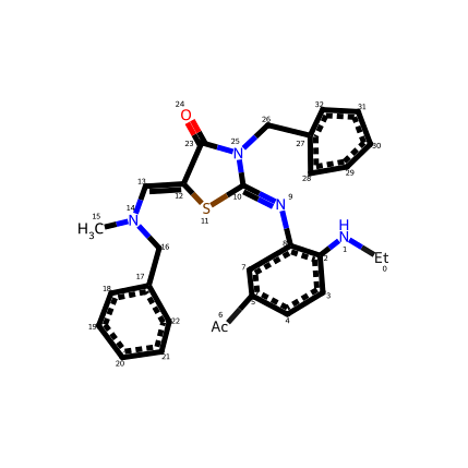 CCNc1ccc(C(C)=O)cc1/N=C1\S/C(=C\N(C)Cc2ccccc2)C(=O)N1Cc1ccccc1